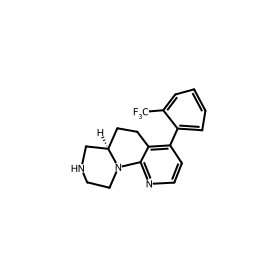 FC(F)(F)c1ccccc1-c1ccnc2c1CC[C@@H]1CNCCN21